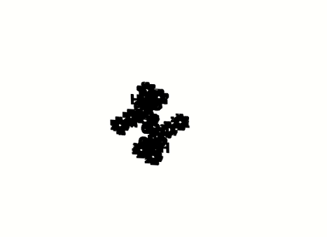 O=C(OC(CN1CCC(c2ccccc2)CC1)CN1C(=O)NC(c2ccccc2)(c2ccccc2)C1=O)C(=O)OC(CN1CCC(c2ccccc2)CC1)CN1C(=O)NC(c2ccccc2)(c2ccccc2)C1=O